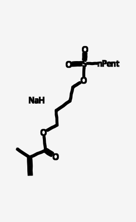 C=C(C)C(=O)OCCCCOS(=O)(=O)CCCCC.[NaH]